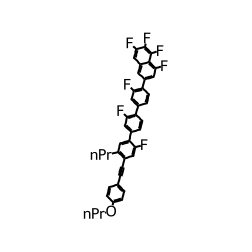 CCCOc1ccc(C#Cc2cc(F)c(-c3ccc(-c4ccc(-c5cc(F)c6c(F)c(F)c(F)cc6c5)c(F)c4)c(F)c3)cc2CCC)cc1